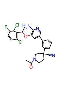 CC(=O)N1CCC(C#N)(c2cccc(-c3cnc(N)c(OC(C)c4c(Cl)ccc(F)c4Cl)c3)c2)CC1